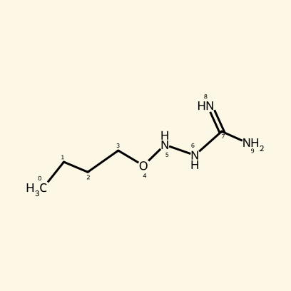 CCCCONNC(=N)N